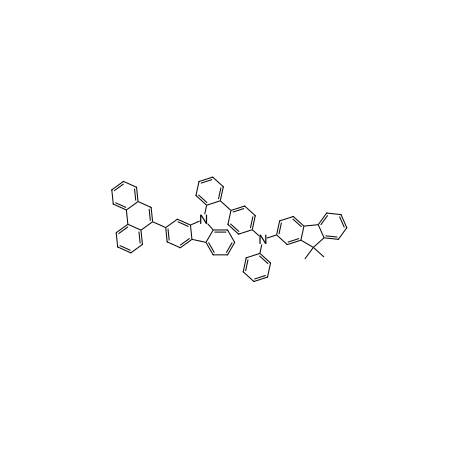 CC1(C)c2ccccc2-c2ccc(N(c3ccccc3)c3ccc(-c4ccccc4-n4c5ccccc5c5ccc(-c6cc7ccccc7c7ccccc67)cc54)cc3)cc21